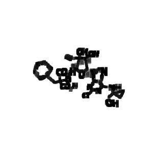 C#C[C@@]1(O)[C@@H](COC(Cc2ccccc2)(C(=O)O)C(=O)O)O[C@@H](n2cnc3c(NC4(CO)CC4)nc(Cl)nc32)[C@@H]1O